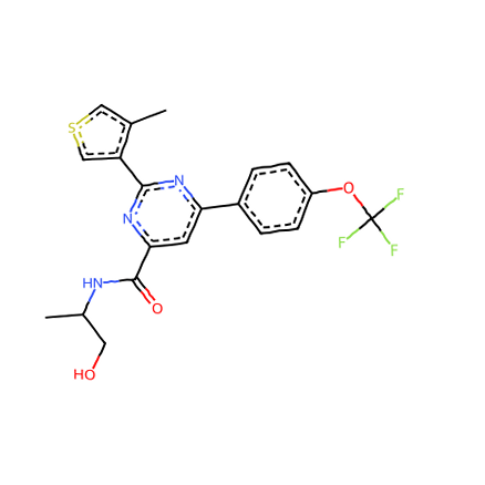 Cc1cscc1-c1nc(C(=O)NC(C)CO)cc(-c2ccc(OC(F)(F)F)cc2)n1